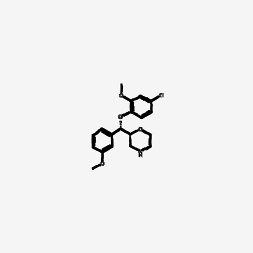 COc1cccc([C@H](Oc2ccc(Cl)cc2OC)[C@@H]2CNCCO2)c1